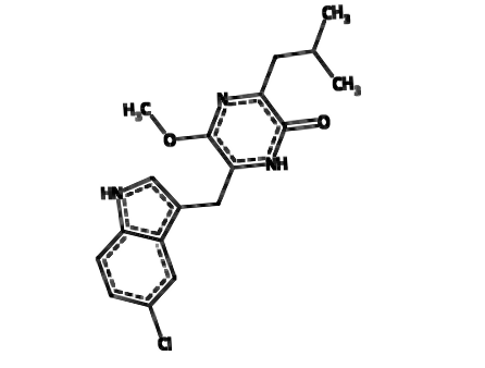 COc1nc(CC(C)C)c(=O)[nH]c1Cc1c[nH]c2ccc(Cl)cc12